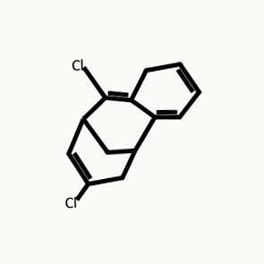 ClC1=CC2CC(C1)C1=CC=CCC1=C2Cl